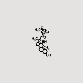 CCN(C[N+](C)(C)[O-])C(=O)CCC(C)C1CCC2C3CCC4CC(O)CCC4(C)C3CC(O)C12C